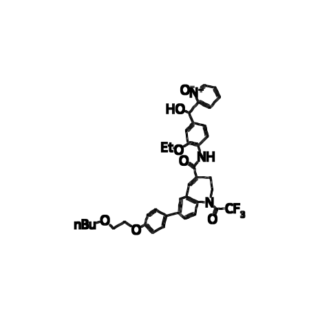 CCCCOCCOc1ccc(-c2ccc3c(c2)C=C(C(=O)Nc2ccc(C(O)c4cccc[n+]4[O-])cc2OCC)CCN3C(=O)C(F)(F)F)cc1